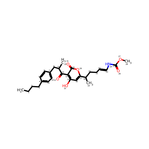 CCCCc1ccc(CC(C)C(=O)c2c(O)cc(C(C)CC/C=C/NC(=O)OC)oc2=O)cc1